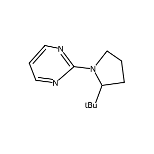 CC(C)(C)C1CCCN1c1ncccn1